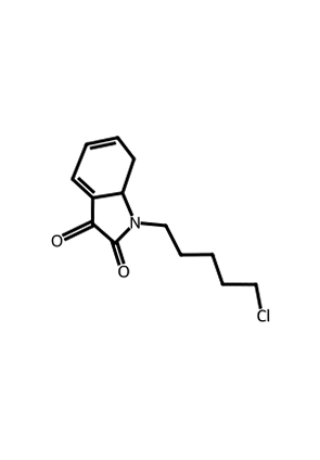 O=C1C(=O)N(CCCCCCl)C2CC=CC=C12